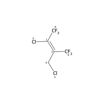 FC(F)(F)/C(Cl)=C(/CCl)C(F)(F)F